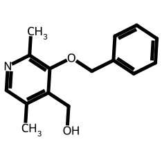 Cc1cnc(C)c(OCc2ccccc2)c1CO